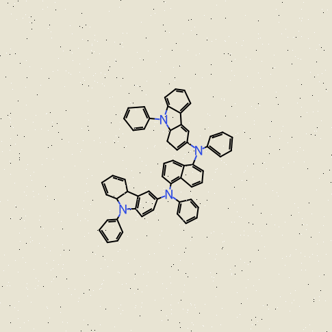 C1=CC2c3cc(N(c4ccccc4)c4cccc5c(N(C6=CCC7C(=C6)c6ccccc6N7c6ccccc6)c6ccccc6)cccc45)ccc3N(c3ccccc3)C2C=C1